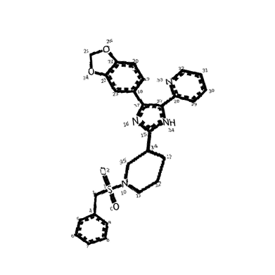 O=S(=O)(Cc1ccccc1)N1CCCC(c2nc(-c3ccc4c(c3)OCO4)c(-c3ccccn3)[nH]2)C1